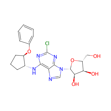 OC[C@H]1O[C@@H](n2cnc3c(N[C@@H]4CCC[C@H]4Oc4ccccc4)nc(Cl)nc32)[C@H](O)[C@@H]1O